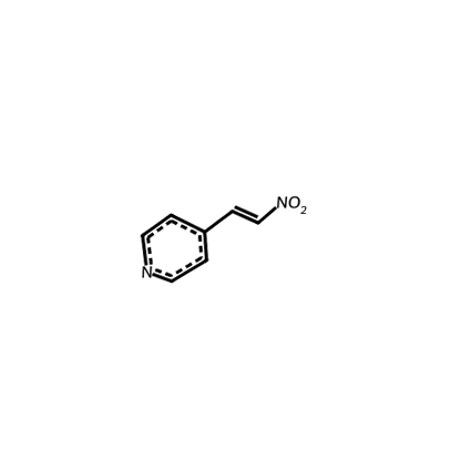 O=[N+]([O-])C=Cc1ccncc1